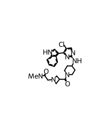 CNC(=O)CN1CC(C(=O)N2CCC(Nc3ncc(Cl)c(-c4c[nH]c5ccccc45)n3)CC2)C1